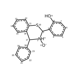 [O-][NH+]1C(c2ccccc2O)Sc2ccccc2C1c1ccccc1